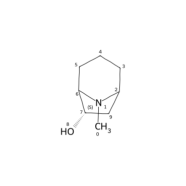 CN1C2CCCC1[C@@H](O)C2